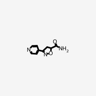 NC(=O)C1CC(c2ccncc2)=NO1